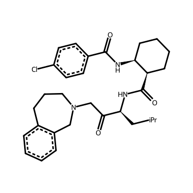 CC(C)C[C@H](NC(=O)[C@@H]1CCCC[C@@H]1NC(=O)c1ccc(Cl)cc1)C(=O)CN1CCCc2ccccc2C1